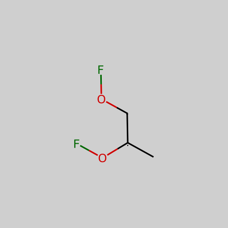 C[C](COF)OF